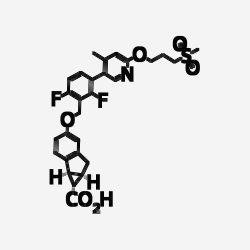 Cc1cc(OCCCS(C)(=O)=O)ncc1-c1ccc(F)c(COc2ccc3c(c2)C[C@H]2[C@H](C(=O)O)[C@@H]32)c1F